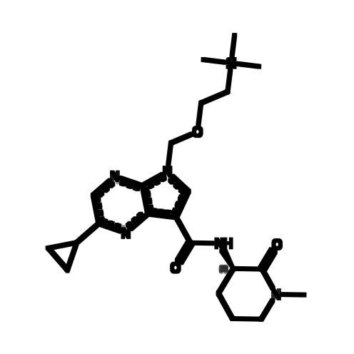 CN1CCC[C@@H](NC(=O)c2cn(COCC[Si](C)(C)C)c3ncc(C4CC4)nc23)C1=O